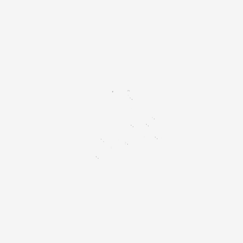 CNc1cc(Nc2cccn(-c3ncco3)c2=O)nc2c(C(=O)N[C@@H]3CC[C@H]3OC)cnn12